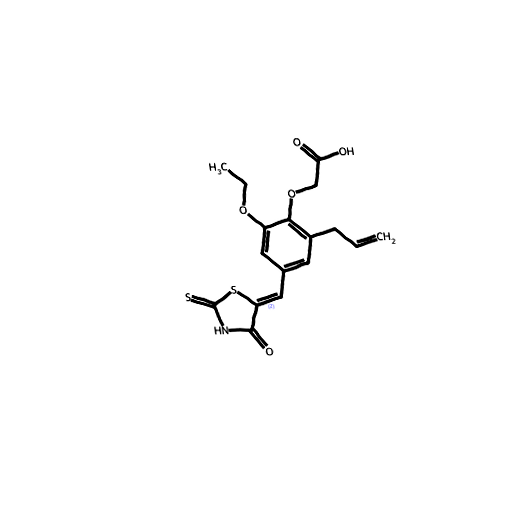 C=CCc1cc(/C=C2\SC(=S)NC2=O)cc(OCC)c1OCC(=O)O